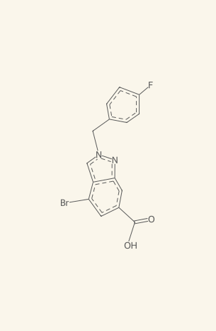 O=C(O)c1cc(Br)c2cn(Cc3ccc(F)cc3)nc2c1